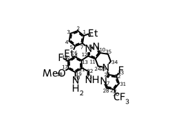 CCc1cccc(CC)c1-n1nc2c(c1-c1cc(F)c(OC)c(N)c1C=N)CN(c1ncc(C(F)(F)F)cc1F)CC2